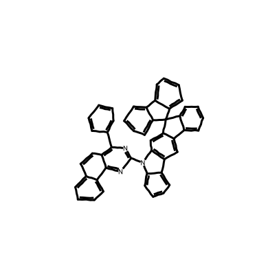 c1ccc(-c2nc(-n3c4ccccc4c4cc5c(cc43)C3(c4ccccc4-c4ccccc43)c3ccccc3-5)nc3c2ccc2ccccc23)cc1